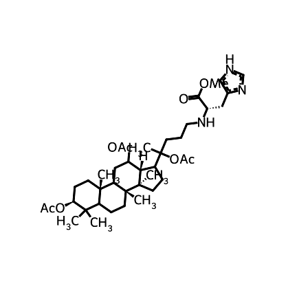 COC(=O)[C@H](Cc1c[nH]cn1)NCCCC(C)(OC(C)=O)C1CC[C@]2(C)[C@@H]1C(OC(C)=O)CC1[C@@]3(C)CC[C@H](OC(C)=O)C(C)(C)C3CC[C@]12C